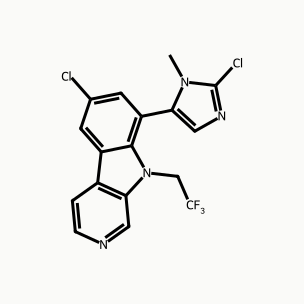 Cn1c(-c2cc(Cl)cc3c4ccncc4n(CC(F)(F)F)c23)cnc1Cl